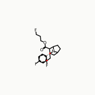 O=C(OCCCF)C1C2CCC(C[C@@H]1c1ccc(I)cc1)N2CCCF